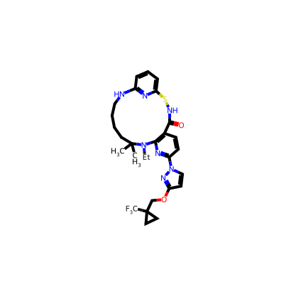 CCN1c2nc(-n3ccc(OCC4(C(F)(F)F)CC4)n3)ccc2C(=O)NSc2cccc(n2)NCCCCC1(C)C